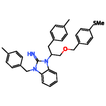 CSc1ccc(COCC(Cc2ccc(C)cc2)n2c(=N)n(Cc3ccc(C)cc3)c3ccccc32)cc1